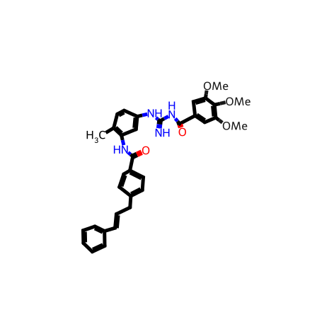 COc1cc(C(=O)NC(=N)Nc2ccc(C)c(NC(=O)c3ccc(C/C=C/c4ccccc4)cc3)c2)cc(OC)c1OC